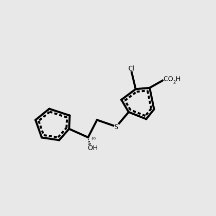 O=C(O)c1ccc(SC[C@H](O)c2ccccc2)cc1Cl